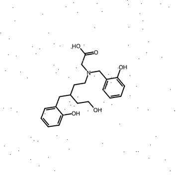 O=C(O)CN(CCC(CCO)Cc1ccccc1O)Cc1ccccc1O